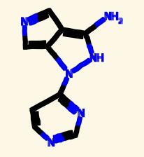 Nc1[nH]n(-c2ccncn2)c2cncc1-2